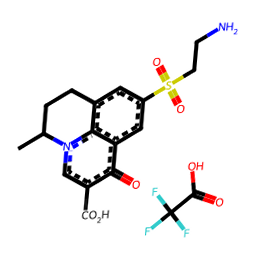 CC1CCc2cc(S(=O)(=O)CCN)cc3c(=O)c(C(=O)O)cn1c23.O=C(O)C(F)(F)F